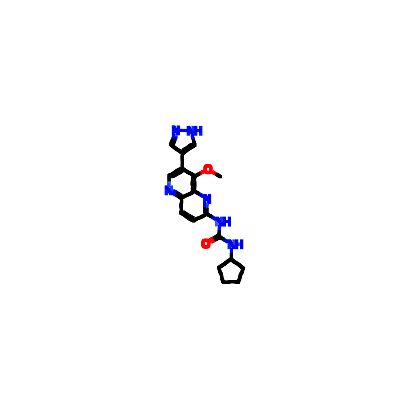 COc1c(-c2cn[nH]c2)cnc2ccc(NC(=O)NC3CCCC3)nc12